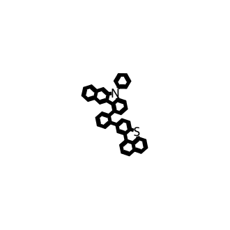 c1ccc(-n2c3cc4ccccc4cc3c3c(-c4ccccc4-c4ccc5c(c4)-c4cccc6cccc(c46)S5)cccc32)cc1